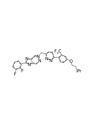 CC(C)CCOc1ccc(-c2ccc(Cn3cc4nc(-c5cccc(F)c5F)nc-4cn3)nn2)c(C(F)(F)F)c1